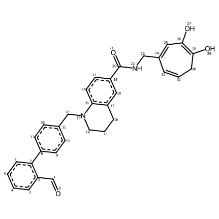 O=Cc1ccccc1-c1ccc(CN2CCCc3cc(C(=O)NCC4=CC(O)=C(O)CC=C4)ccc32)cc1